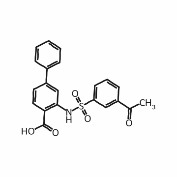 CC(=O)c1cccc(S(=O)(=O)Nc2cc(-c3ccccc3)ccc2C(=O)O)c1